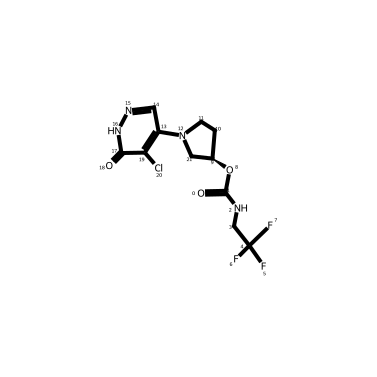 O=C(NCC(F)(F)F)O[C@@H]1CCN(c2cn[nH]c(=O)c2Cl)C1